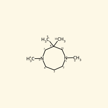 CN1CCCN(C)CC(C)(C)C1